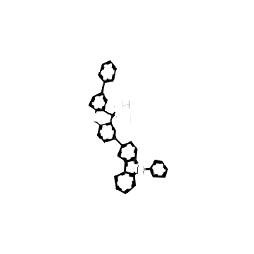 CC1(C)c2cc(-c3ccccc3)ccc2Sc2ccc(-c3ccc4c(c3)c3ccccc3n4-c3ccccc3)cc21